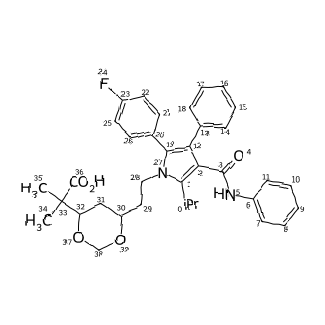 CC(C)c1c(C(=O)Nc2ccccc2)c(-c2ccccc2)c(-c2ccc(F)cc2)n1CCC1CC(C(C)(C)C(=O)O)OCO1